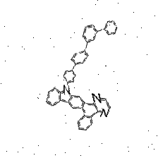 c1ccc(-c2cccc(-c3ccc(-c4ccc(-n5c6ccccc6c6cc7c8ccccc8c8nccnc8c7cc65)cc4)cc3)c2)cc1